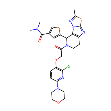 Cc1nn2c3c(nc2s1)CCN(C(=O)COc1ccc(N2CCOCC2)nc1Cl)C3c1cc(C(=O)N(C)C)cs1